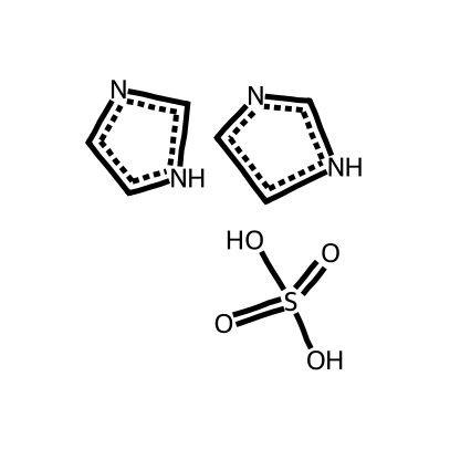 O=S(=O)(O)O.c1c[nH]cn1.c1c[nH]cn1